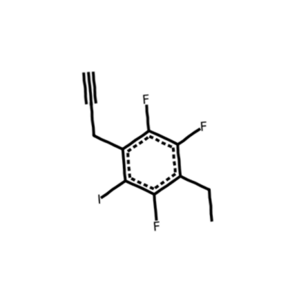 C#CCc1c(F)c(F)c(CC)c(F)c1I